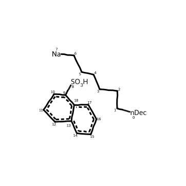 CCCCCCCCCCCCCCC[CH2][Na].O=S(=O)(O)c1cccc2ccccc12